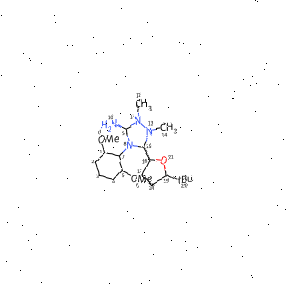 COC1CCCC(OC)C1N1C(N)N(C)N(C)C1C1CCC(C(C)(C)C)O1